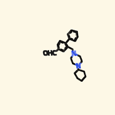 O=Cc1ccc(-c2ccccc2)c(CN2CCN(C3CCCCC3)CC2)c1